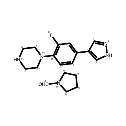 Fc1cc(-c2cn[nH]c2)ccc1N1CCNCC1.O=CN1CCCC1